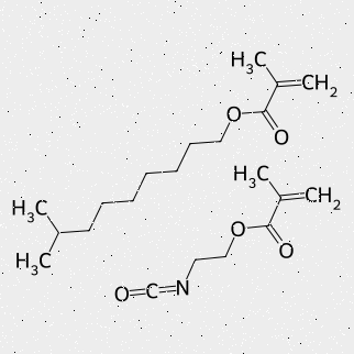 C=C(C)C(=O)OCCCCCCCC(C)C.C=C(C)C(=O)OCCN=C=O